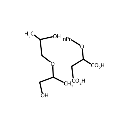 CC(O)COC(C)CO.CCCOC(CC(=O)O)C(=O)O